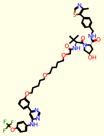 Cc1ncsc1-c1ccc(CNC(=O)[C@@H]2C[C@@H](O)CN2C(=O)[C@@H](NC(=O)COCCCCCOCCCCCOc2cccc(-c3cc(Nc4ccc(OC(F)(F)F)cc4)ncn3)c2)C(C)(C)C)cc1